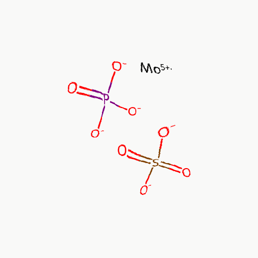 O=P([O-])([O-])[O-].O=S(=O)([O-])[O-].[Mo+5]